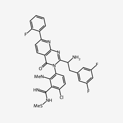 CNc1c(-n2c(C(N)Cc3cc(F)cc(F)c3)nc3nc(-c4ccccc4F)ccc3c2=O)ccc(Cl)c1C(=N)NSC